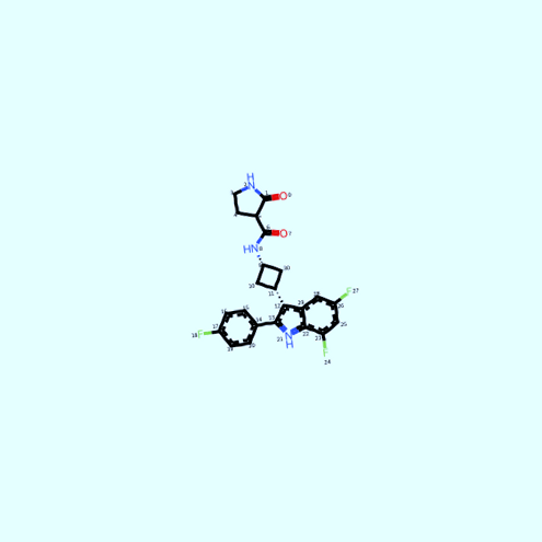 O=C1NCCC1C(=O)N[C@H]1C[C@@H](c2c(-c3ccc(F)cc3)[nH]c3c(F)cc(F)cc32)C1